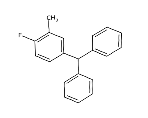 Cc1cc(C(c2ccccc2)c2ccccc2)ccc1F